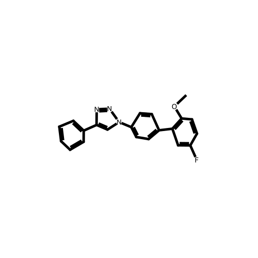 COc1ccc(F)cc1-c1ccc(-n2cc(-c3ccccc3)nn2)cc1